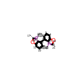 CCCC[P@@]1c2c(cccc2-c2cccc3c2[P@](C(C)(C)C)[C@@H](C)O3)O[C@@H]1C